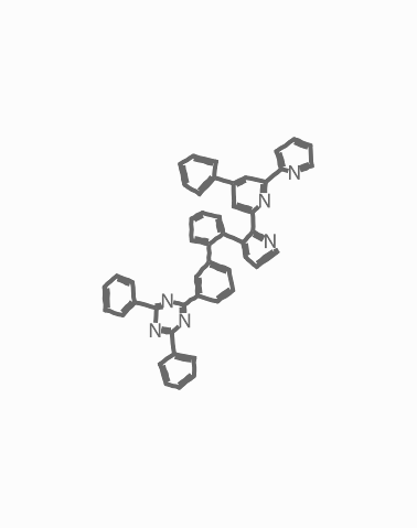 c1ccc(-c2cc(-c3ccccn3)nc(-c3ncccc3-c3ccccc3-c3cccc(-c4nc(-c5ccccc5)nc(-c5ccccc5)n4)c3)c2)cc1